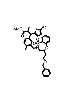 COC(=O)C(C)C(c1ccc(C)c(CN2CC(CCOCc3ccccc3)Oc3ccccc3S2(=O)=O)c1)c1ccc(C(C)=O)s1